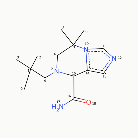 CC(C)(C)CN1CC(C)(C)n2cn[c]c2C1C(N)=O